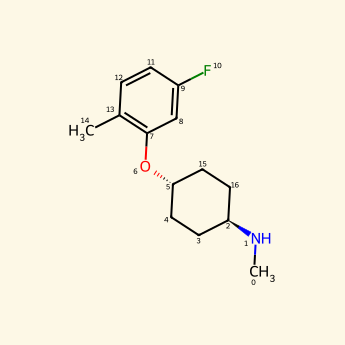 CN[C@H]1CC[C@H](Oc2cc(F)ccc2C)CC1